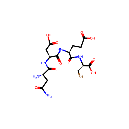 NC(=O)C[C@H](N)C(=O)N[C@@H](CC(=O)O)C(=O)N[C@@H](CCC(=O)O)C(=O)N[C@@H](CS)C(=O)O